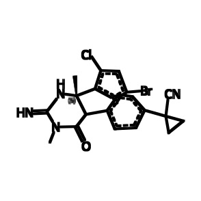 CN1C(=N)N[C@](C)(c2sc(Br)cc2Cl)C(c2ccc(C3(C#N)CC3)cc2)C1=O